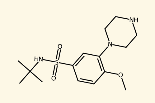 COc1ccc(S(=O)(=O)NC(C)(C)C)cc1N1CCNCC1